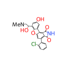 CNCC(O)c1cc(O)cc2c1oc1cc(-c3ccccc3Cl)c3c(c12)C(=O)NC3=O